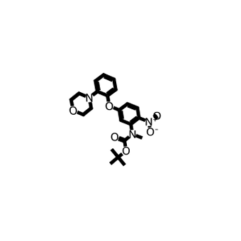 CN(C(=O)OC(C)(C)C)c1cc(Oc2ccccc2N2CCOCC2)ccc1[N+](=O)[O-]